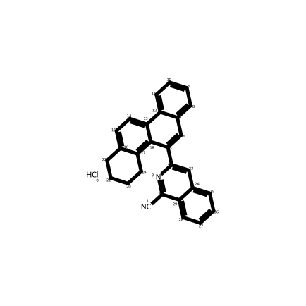 Cl.N#Cc1nc(-c2cc3ccccc3c3ccc4c(c23)CCCC4)cc2ccccc12